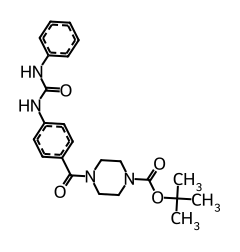 CC(C)(C)OC(=O)N1CCN(C(=O)c2ccc(NC(=O)Nc3ccccc3)cc2)CC1